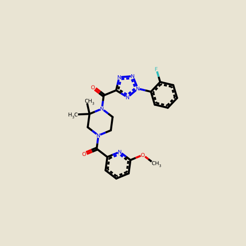 COc1cccc(C(=O)N2CCN(C(=O)c3nnn(-c4ccccc4F)n3)C(C)(C)C2)n1